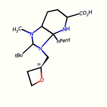 CCCCCC12NC(C(=O)O)CCC1N(C)C(C(C)(C)C)N2C[C@@H]1CCO1